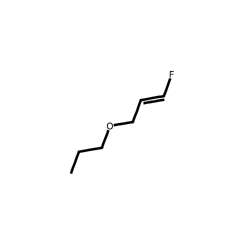 CCCOC/C=C/F